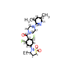 CC[C@@H]1CCS(=O)(=O)N1c1cc(F)c(C(=O)N2CCN(c3ncc(C)cc3C)CC2)c(F)c1